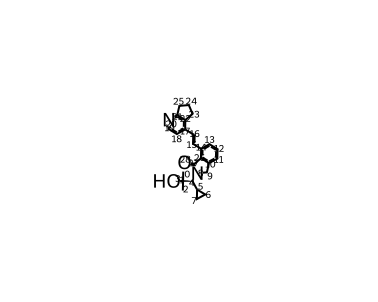 CC(C)(O)[C@H](C1CC1)N1Cc2cccc(/C=C/c3ccnc4c3CCC4)c2C1=O